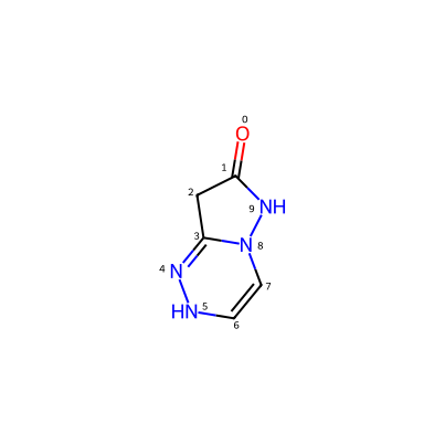 O=C1CC2=NNC=CN2N1